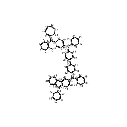 Cc1ccccc1N(C1=CC=CC=CC1)C1C=CC(N(c2ccccc2)c2ccc(-c3ccc(N(c4ccccc4)c4ccc5c(c4)c4ccccc4n5-c4ccccc4)cc3)cc2)=CC1